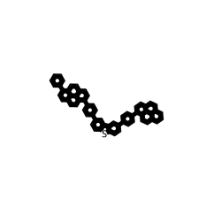 c1ccc(-c2ccc3ccc4c(-c5ccc(-c6ccc7sc8ccc(-c9ccc(-c%10ccc%11ccc%12cccc%13ccc%10c%11c%12%13)cc9)cc8c7c6)cc5)ccc5ccc2c3c54)cc1